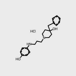 Cl.Oc1ccc(NCCCN2CCC(O)(Cc3ccccc3)CC2)cc1